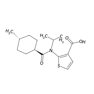 CC(C)N(c1sccc1C(=O)O)C(=O)[C@H]1CC[C@H](C)CC1